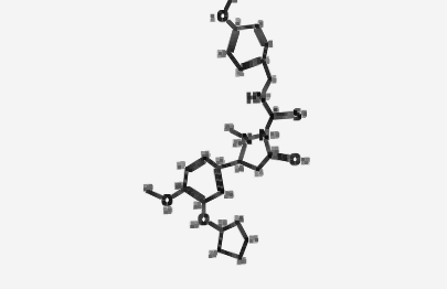 COc1ccc(CNC(=S)N2C(=O)CC(c3ccc(OC)c(OC4CCCC4)c3)N2C)cc1